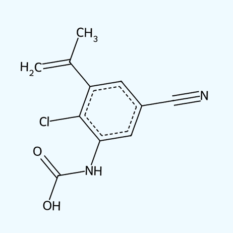 C=C(C)c1cc(C#N)cc(NC(=O)O)c1Cl